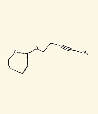 CC#CCCOC1CCCCO1